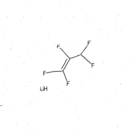 FC(F)=C(F)C(F)F.[LiH]